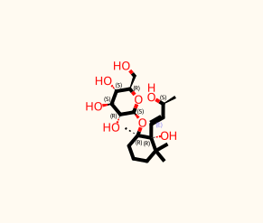 C[C@H](O)/C=C/[C@@]1(O)C(C)(C)CCC[C@@]1(C)O[C@@H]1O[C@H](CO)[C@@H](O)[C@H](O)[C@H]1O